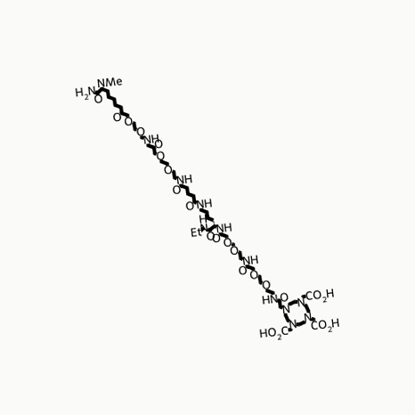 CCNC(=O)[C@H](CCCCNC(=O)CCCC(=O)NCCOCCOCC(=O)CNCOCCOCC(=O)CCCCCC(NC)C(N)=O)NC(=O)COCOCCNC(=O)COCCOCCNC(=O)CN1CCN(CC(=O)O)CCN(CC(=O)O)CCN(CC(=O)O)CC1